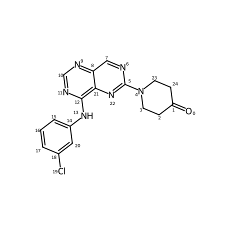 O=C1CCN(c2ncc3ncnc(Nc4cccc(Cl)c4)c3n2)CC1